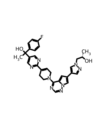 C[C@H](O)Cn1cc(-c2cc3c(N4CC=C(c5ncc(C(C)(O)c6ccc(F)cc6)cn5)CC4)ncnn3c2)cn1